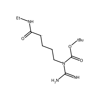 CCNC(=O)[CH]CCCN(C(=N)N)C(=O)OC(C)(C)C